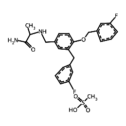 CC(NCc1ccc(OCc2cccc(F)c2)c(Cc2cccc(F)c2)c1)C(N)=O.CS(=O)(=O)O